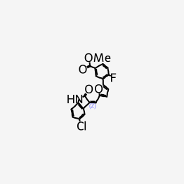 COC(=O)c1ccc(F)c(-c2ccc(/C=C3\C(=O)Nc4ccc(Cl)cc43)o2)c1